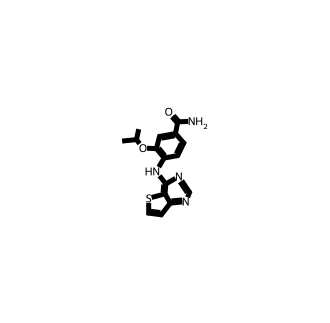 CC(C)Oc1cc(C(N)=O)ccc1Nc1ncnc2ccsc12